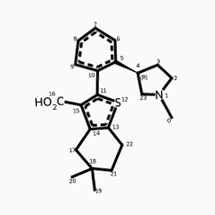 CN1CC[C@H](c2ccccc2-c2sc3c(c2C(=O)O)CC(C)(C)CC3)C1